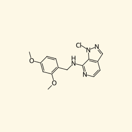 COc1ccc(CNc2nccc3cnn(Cl)c23)c(OC)c1